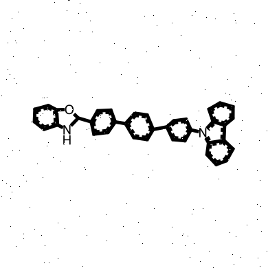 c1ccc2c(c1)NC(c1ccc(-c3ccc(-c4ccc(-n5c6ccccc6c6ccccc65)cc4)cc3)cc1)O2